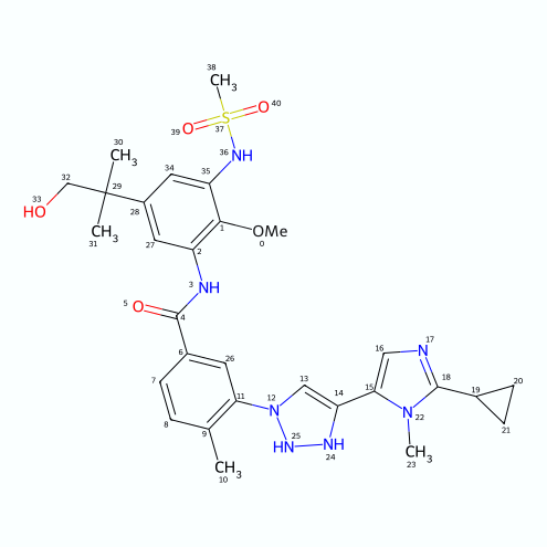 COc1c(NC(=O)c2ccc(C)c(N3C=C(c4cnc(C5CC5)n4C)NN3)c2)cc(C(C)(C)CO)cc1NS(C)(=O)=O